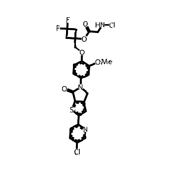 COc1cc(N2Cc3cc(-c4ccc(Cl)cn4)sc3C2=O)ccc1OCC1(OC(=O)CNCl)CC(F)(F)C1